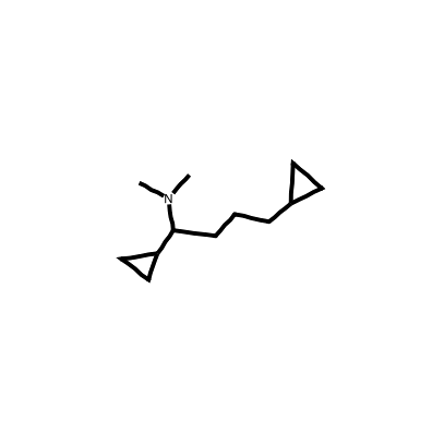 CN(C)C(CCCC1CC1)C1CC1